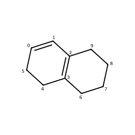 C1=CC2=C(CC1)CCCC2